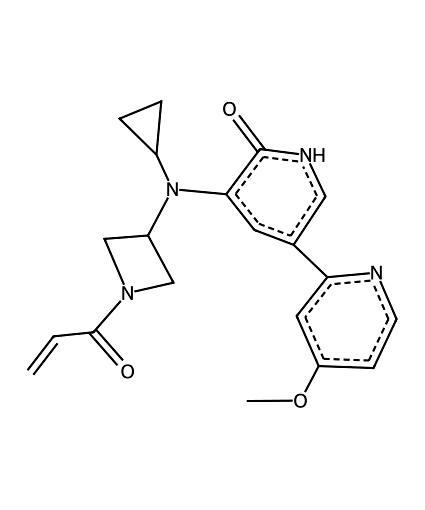 C=CC(=O)N1CC(N(c2cc(-c3cc(OC)ccn3)c[nH]c2=O)C2CC2)C1